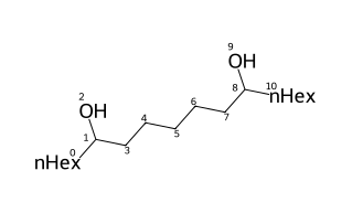 CCCCCCC(O)CCCCCC(O)CCCCCC